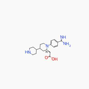 N=C(N)c1ccc(N2CCC(C3CCNCC3)C[C@@H]2CC(=O)O)cc1